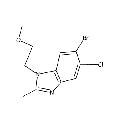 COCCn1c(C)nc2cc(Cl)c(Br)cc21